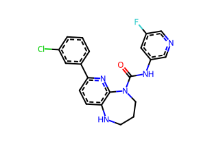 O=C(Nc1cncc(F)c1)N1CCCNc2ccc(-c3cccc(Cl)c3)nc21